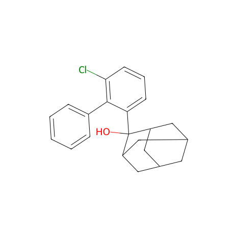 OC1(c2cccc(Cl)c2-c2ccccc2)C2CC3CC(C2)CC1C3